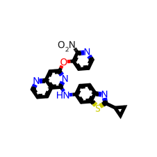 O=[N+]([O-])c1ncccc1Oc1cc2ncccc2c(Nc2ccc3nc(C4CC4)sc3c2)n1